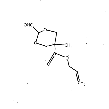 C=CCOC(=O)C1(C)COC(C=O)OC1